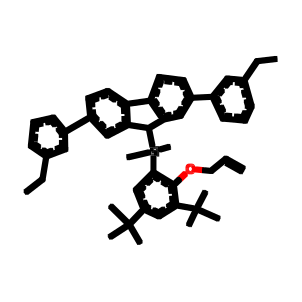 C=CCOc1c(C(C)(C)C)cc(C(C)(C)C)cc1[Si](C)(C)C1c2cc(-c3cccc(CC)c3)ccc2-c2ccc(-c3cccc(CC)c3)cc21